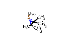 CC(C)(C)SN1C(C)(C)C1(C)C